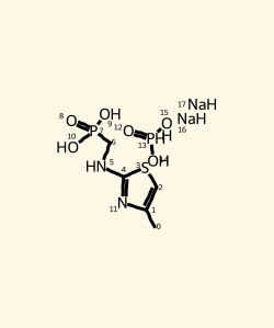 Cc1csc(NCP(=O)(O)O)n1.O=[PH](O)O.[NaH].[NaH]